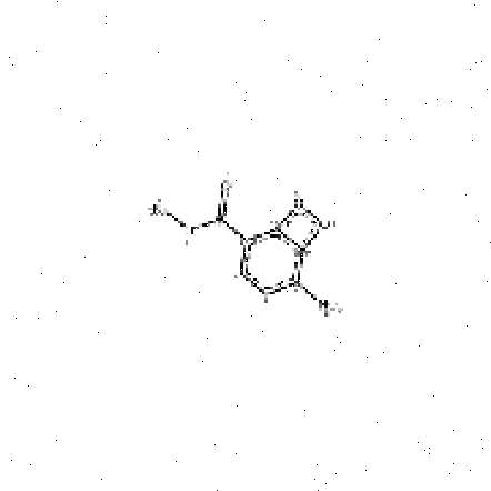 CC(C)(C)OC(=O)c1ccc([N+](=O)[O-])c2ooc12